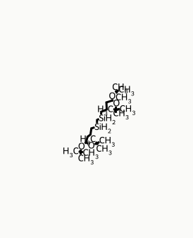 CC(C)(C)OC(CCC[SiH2]C[SiH2]CCCC(OC(C)(C)C)OC(C)(C)C)OC(C)(C)C